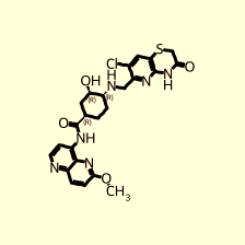 COc1ccc2nccc(NC(=O)[C@@H]3CC[C@@H](NCc4nc5c(cc4Cl)SCC(=O)N5)[C@H](O)C3)c2n1